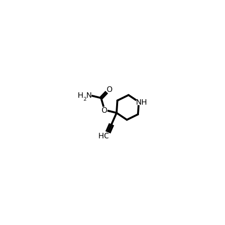 C#CC1(OC(N)=O)CCNCC1